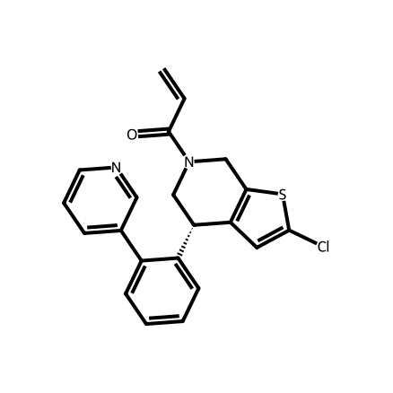 C=CC(=O)N1Cc2sc(Cl)cc2[C@H](c2ccccc2-c2cccnc2)C1